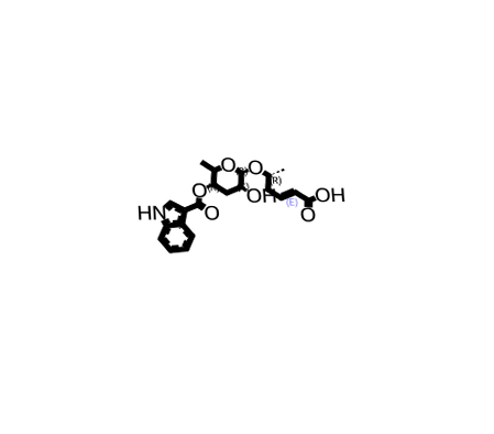 CC1O[C@@H](O[C@H](C)C/C=C/C(=O)O)[C@@H](O)C[C@H]1OC(=O)c1c[nH]c2ccccc12